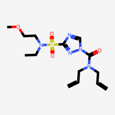 C=CCN(CC=C)C(=O)n1cnc(S(=O)(=O)N(CC)CCOC)n1